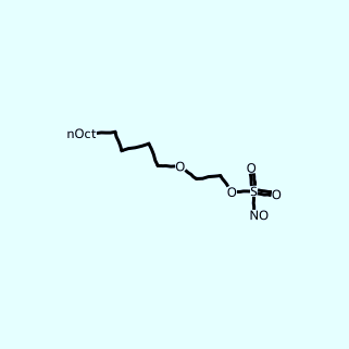 CCCCCCCCCCCCOCCOS(=O)(=O)N=O